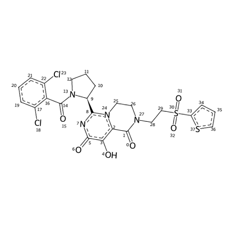 O=C1c2c(O)c(=O)nc([C@@H]3CCCN3C(=O)c3c(Cl)cccc3Cl)n2CCN1CCS(=O)(=O)c1cccs1